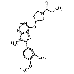 CCC(=O)N1CCC(Oc2ncnc3c2nc(-c2ccc(OC)c(C)c2)n3C)C1